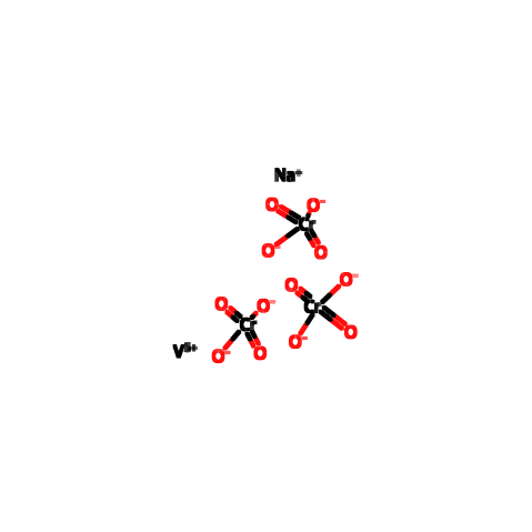 [Na+].[O]=[Cr](=[O])([O-])[O-].[O]=[Cr](=[O])([O-])[O-].[O]=[Cr](=[O])([O-])[O-].[V+5]